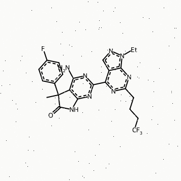 CCn1ncc2c(-c3nc(N)c4c(n3)NC(=O)C4(C)c3ccc(F)cc3)nc(CCCC(F)(F)F)nc21